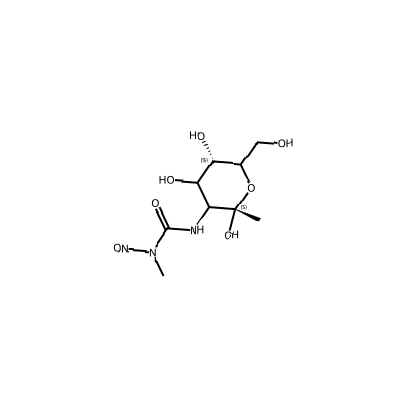 CN(N=O)C(=O)NC1C(O)[C@H](O)C(CO)O[C@]1(C)O